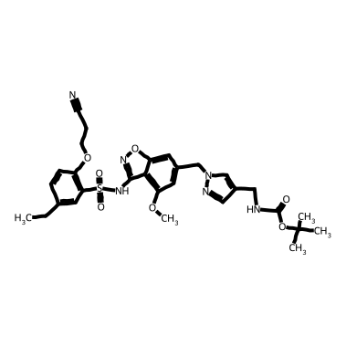 CCc1ccc(OCCC#N)c(S(=O)(=O)Nc2noc3cc(Cn4cc(CNC(=O)OC(C)(C)C)cn4)cc(OC)c23)c1